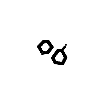 Fc1cc[c]cc1.c1ccncc1